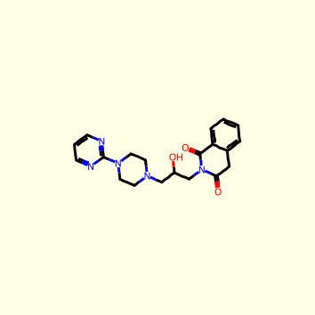 O=C1Cc2ccccc2C(=O)N1CC(O)CN1CCN(c2ncccn2)CC1